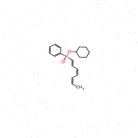 C\C=C/C=C\C=C\P(=O)(OC1CCCCC1)c1ccccc1